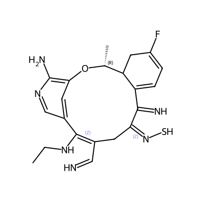 CCN/C1=C(\C=N)C/C(=N/S)C(=N)C2=CC=C(F)CC2[C@@H](C)Oc2cc1cnc2N